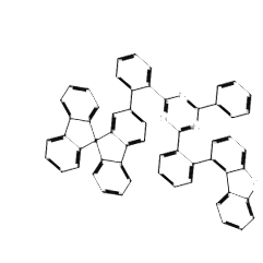 c1ccc(-c2nc(-c3ccccc3-c3ccc4c(c3)C3(c5ccccc5-c5ccccc53)c3ccccc3-4)nc(-c3ccccc3-c3cccc4oc5ccccc5c34)n2)cc1